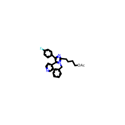 CC(=O)OCCCCc1nc(-c2ccc(F)cc2)c(-c2ccncc2)n1Cc1ccccc1